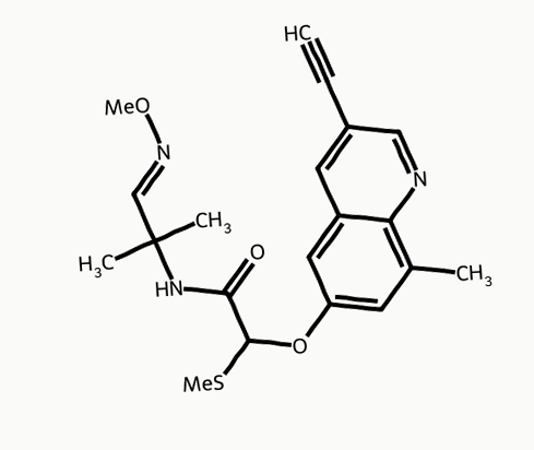 C#Cc1cnc2c(C)cc(OC(SC)C(=O)NC(C)(C)C=NOC)cc2c1